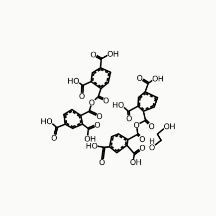 O=C(O)c1ccc(C(=O)OC(=O)c2ccc(C(=O)O)cc2C(=O)O)c(C(=O)O)c1.O=C(O)c1ccc(C(=O)OC(=O)c2ccc(C(=O)O)cc2C(=O)O)c(C(=O)O)c1.OCCO